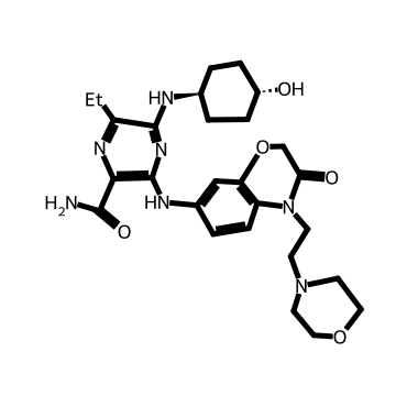 CCc1nc(C(N)=O)c(Nc2ccc3c(c2)OCC(=O)N3CCN2CCOCC2)nc1N[C@H]1CC[C@H](O)CC1